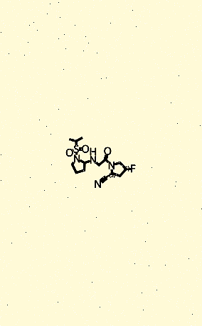 CC(C)S(=O)(=O)N1CCCC1NCC(=O)N1C[C@@H](F)C[C@H]1C#N